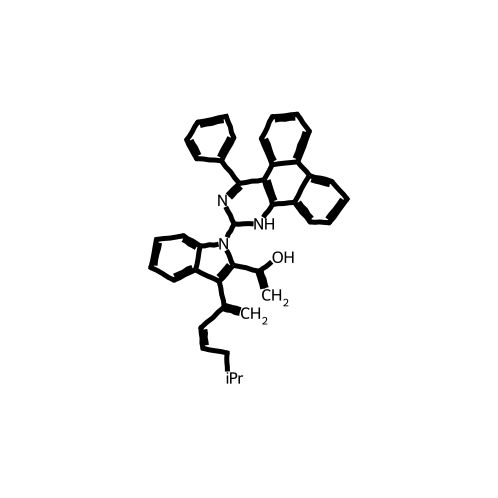 C=C(/C=C\CC(C)C)c1c(C(=C)O)n(C2N=C(c3ccccc3)c3c(c4ccccc4c4ccccc34)N2)c2ccccc12